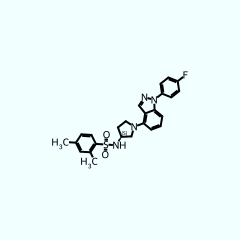 Cc1ccc(S(=O)(=O)N[C@H]2CCN(c3cccc4c3cnn4-c3ccc(F)cc3)C2)c(C)c1